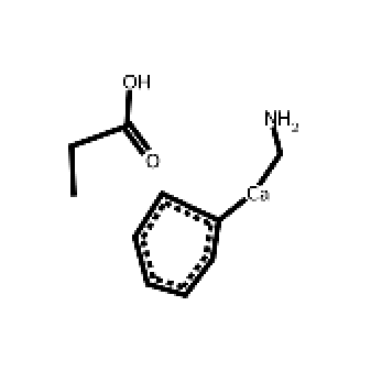 CCC(=O)O.N[CH2][Ca][c]1ccccc1